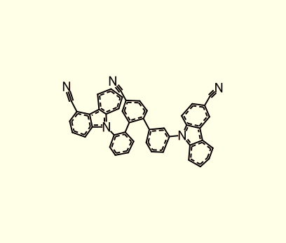 N#Cc1ccc(-c2cccc(-n3c4ccccc4c4cc(C#N)ccc43)c2)c(-c2ccccc2-n2c3ccccc3c3c(C#N)cccc32)c1